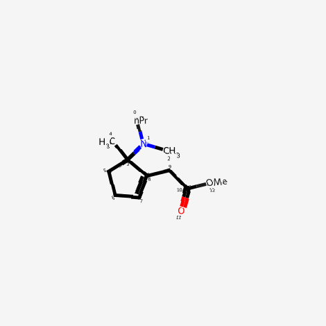 CCCN(C)C1(C)CCC=C1CC(=O)OC